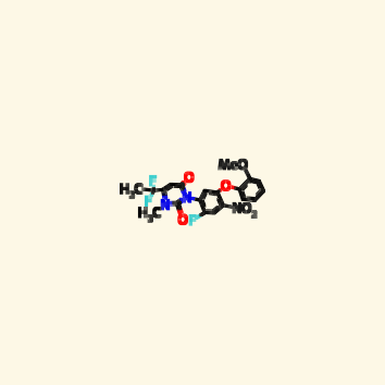 COc1ccccc1Oc1cc(-n2c(=O)cc(C(C)(F)F)n(C)c2=O)c(F)cc1[N+](=O)[O-]